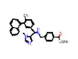 COC(=O)c1ccc(CNC(c2ccc(C#N)c(-c3cccc4ccccc34)c2)c2cncn2C)cc1